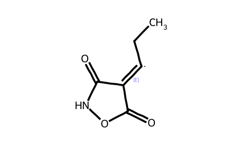 CC/[C]=C1\C(=O)NOC1=O